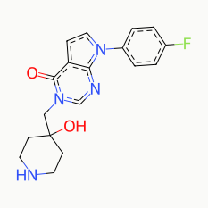 O=c1c2ccn(-c3ccc(F)cc3)c2ncn1CC1(O)CCNCC1